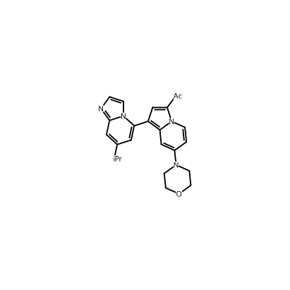 CC(=O)c1cc(-c2cc(C(C)C)cc3nccn23)c2cc(N3CCOCC3)ccn12